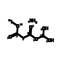 N.O=C(CC(=O)OB(O)O)OI